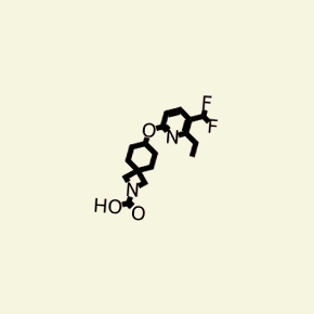 CCc1nc(OC2CCC3(CC2)CN(C(=O)O)C3)ccc1C(F)F